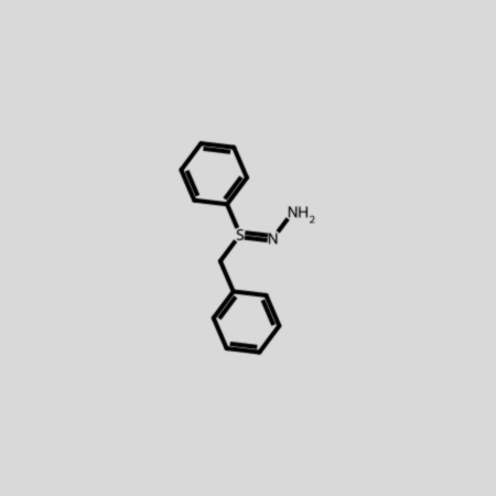 NN=S(Cc1ccccc1)c1ccccc1